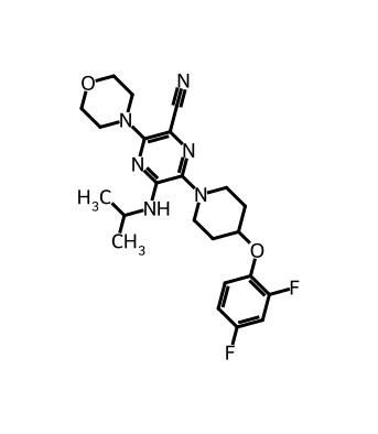 CC(C)Nc1nc(N2CCOCC2)c(C#N)nc1N1CCC(Oc2ccc(F)cc2F)CC1